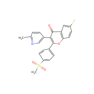 Cc1ccc(-c2c(-c3ccc(S(C)(=O)=O)cc3)oc3ccc(F)cc3c2=O)cn1